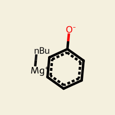 CCC[CH2][Mg+].[O-]c1ccccc1